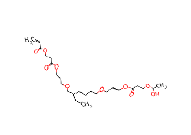 C=CC(=O)OCCC(=O)OCCCOCC(CC)CCCCOCCCOC(=O)CCOC(C)O